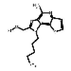 CCOCc1nc2c(N)nc3ccsc3c2n1CCCCN